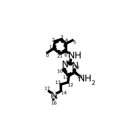 Cc1ccc(C)c(Nc2ncc(CCCN(C)C)c(N)n2)c1